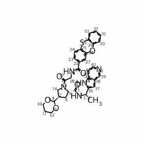 C[C@@H](NC(=O)[C@@H]1C[C@@H](C2OCCCO2)CN1C(=O)CNC(=O)c1ccc2c(c1)Oc1ccccc1S2)c1cc2cnccc2[nH]1